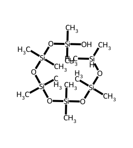 C[SiH](C)O[Si](C)(C)O[Si](C)(C)O[Si](C)(C)O[Si](C)(C)O[Si](C)(C)O